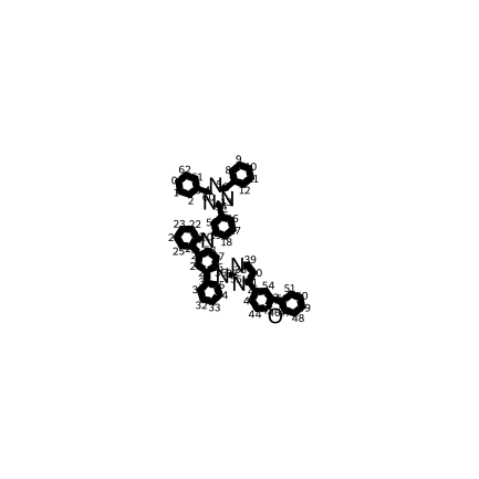 c1ccc(-c2nc(-c3ccccc3)nc(-c3cccc(-n4c5ccccc5c5cc6c7ccccc7n(-c7nccc(-c8ccc9oc%10ccccc%10c9c8)n7)c6cc54)c3)n2)cc1